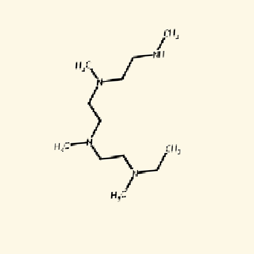 CCN(C)CCN(C)CCN(C)CCNC